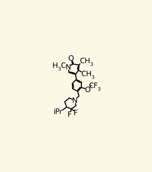 Cc1c(-c2ccc(CN3CCC(C(C)C)C(F)(F)C3)c(OC(F)(F)F)c2)cn(C)c(=O)c1C